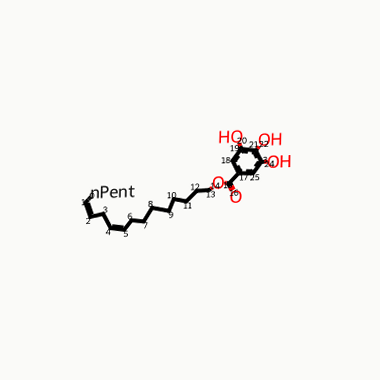 CCCCC/C=C\C/C=C\CCCCCCCCOC(=O)c1cc(O)c(O)c(O)c1